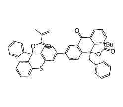 C=C(C)C(=O)OC1(c2ccccc2)c2ccccc2Sc2cc(-c3ccc4c(c3)C(=O)c3ccccc3C4(Cc3ccccc3)OC(=O)C(C)(C)C)ccc21